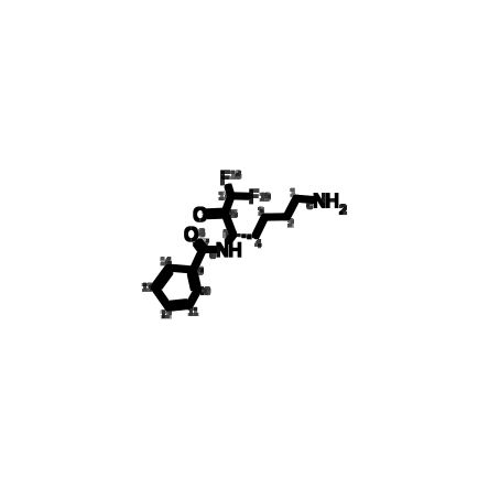 NCCCC[C@H](NC(=O)c1ccccc1)C(=O)C(F)F